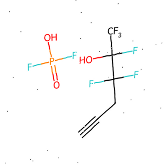 C#CCC(F)(F)C(O)(F)C(F)(F)F.O=P(O)(F)F